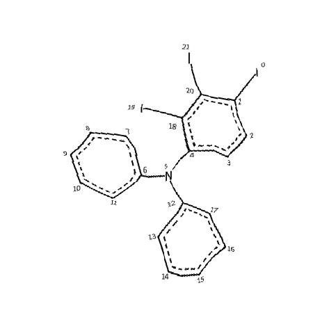 Ic1ccc(N(c2ccccc2)c2ccccc2)c(I)c1I